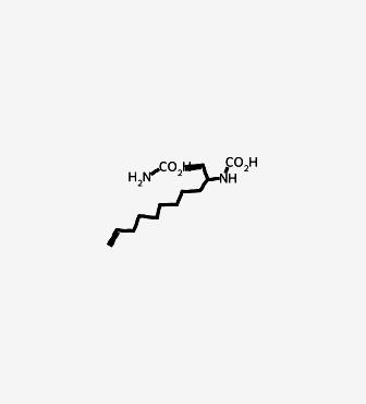 C=CCCCCCCCC(C=C)NC(=O)O.NC(=O)O